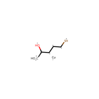 O=C(O)C(O)CCCS.[Cu]